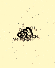 COC(C)(C)[C@H]1CCC=C2C(=O)c3c(O)c4c(c(CC(O)C(C)(C)O)c3OC21)O[C@](C)(CCC=C(C)C)C=C4